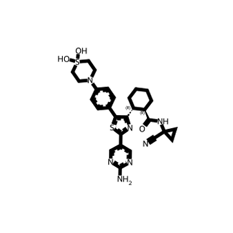 N#CC1(NC(=O)[C@@H]2CCCC[C@H]2c2nc(-c3cnc(N)nc3)sc2-c2ccc(N3CCS(O)(O)CC3)cc2)CC1